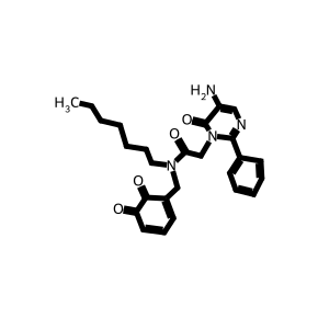 CCCCCCCN(CC1=CC=CC(=O)C1=O)C(=O)Cn1c(-c2ccccc2)ncc(N)c1=O